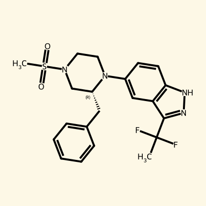 CC(F)(F)c1n[nH]c2ccc(N3CCN(S(C)(=O)=O)C[C@H]3Cc3ccccc3)cc12